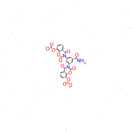 COC(=O)Oc1cccc2c(=O)n(-c3cc(C(N)=O)cc(-n4c(=O)oc5c(OC(=O)OC)cccc5c4=O)c3)c(=O)oc12